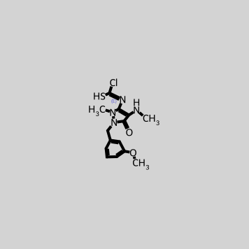 CNc1c(/N=C(\S)Cl)n(C)n(Cc2cccc(OC)c2)c1=O